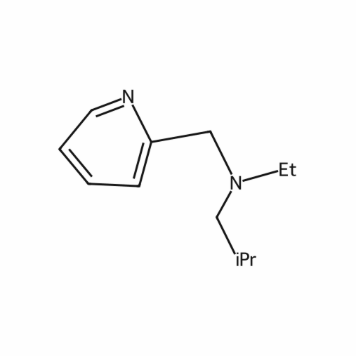 CCN(Cc1ccccn1)CC(C)C